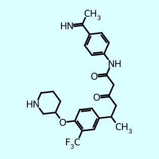 CC(=N)c1ccc(NC(=O)CC(=O)CC(C)c2ccc(OC3CCCNC3)c(C(F)(F)F)c2)cc1